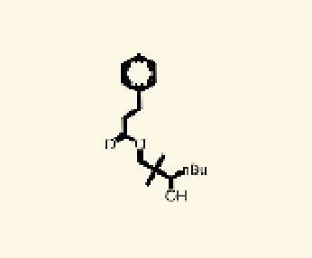 CCCCC(O)C(C)(C)COC(=O)CCc1ccccc1